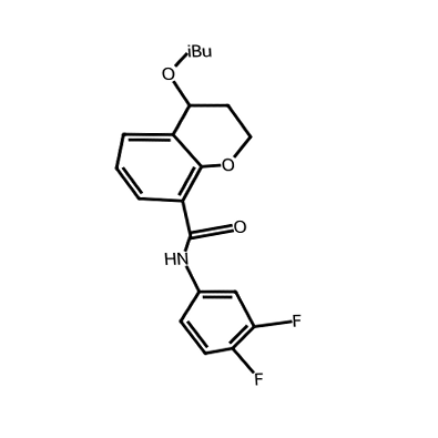 CCC(C)OC1CCOc2c(C(=O)Nc3ccc(F)c(F)c3)cccc21